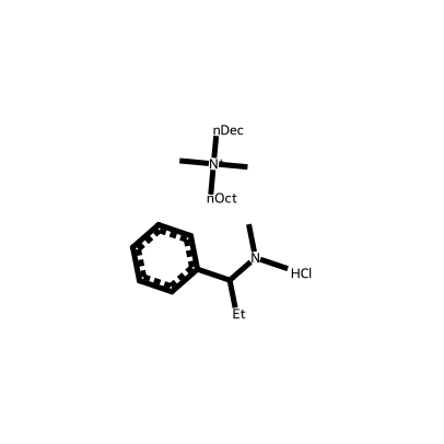 CCC(c1ccccc1)N(C)C.CCCCCCCCCC[N+](C)(C)CCCCCCCC.Cl